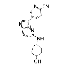 N#Cc1ccc(-c2cnc3ccc(N[C@H]4CC[C@H](O)CC4)nn23)cn1